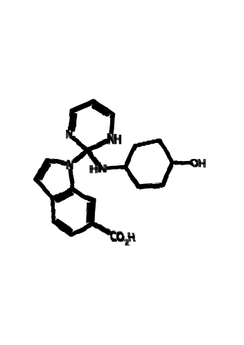 O=C(O)c1ccc2ccn(C3(NC4CCC(O)CC4)N=CC=CN3)c2c1